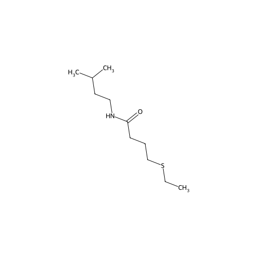 CCSCCCC(=O)NCCC(C)C